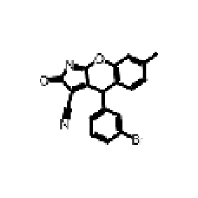 Cc1ccc2c(c1)OC1=NC(=O)C(C#N)=C1C2c1cccc(Br)c1